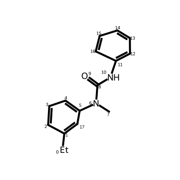 CCc1cccc(N(C)C(=O)Nc2ccccc2)c1